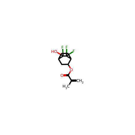 C=C(C)C(=O)OC1CC2CCC1C(F)(F)C2(O)F